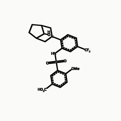 COc1ccc(C(=O)O)cc1S(=O)(=O)Nc1cc(C(F)(F)F)ccc1N1CC2CCC(C1)C2O